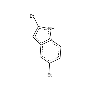 [CH2]Cc1cc2cc(CC)ccc2[nH]1